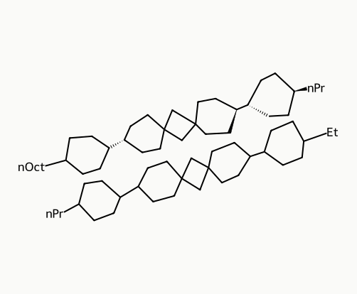 CCCC1CCC(C2CCC3(CC2)CC2(CCC(C4CCC(CC)CC4)CC2)C3)CC1.CCCCCCCCC1CCC([C@H]2CCC3(CC2)CC2(CC[C@H]([C@H]4CC[C@H](CCC)CC4)CC2)C3)CC1